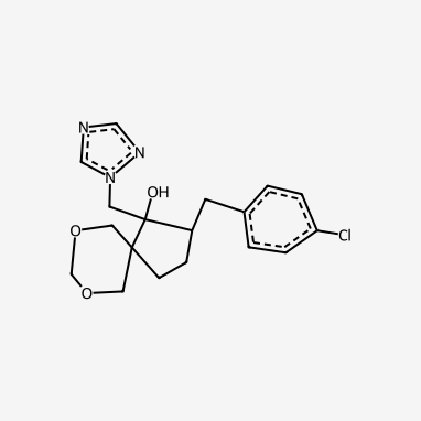 OC1(Cn2cncn2)C(Cc2ccc(Cl)cc2)CCC12COCOC2